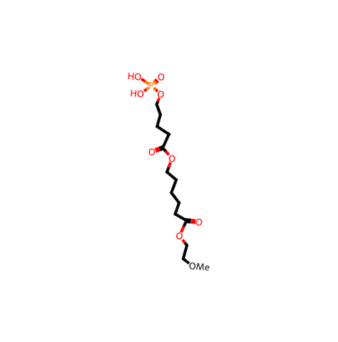 COCCOC(=O)CCCCCOC(=O)CCCCOP(=O)(O)O